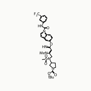 CN/C(=C\C(=N)Oc1ccc2c(ccn2C(=O)Nc2cccc(C(F)(F)F)c2)c1)CN(C1CCN(C(=O)OC(C)(C)C)C1)S(C)(=O)=O